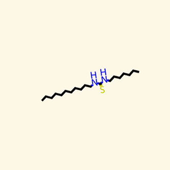 CCCCCCCCCCCNC(=S)NCCCCCCC